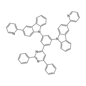 c1ccc(-c2cc(-c3cc(-n4c5ccccc5c5cc(-c6ccccn6)ccc54)cc(-n4c5ccccc5c5cc(-c6ccccn6)ccc54)c3)nc(-c3ccccc3)n2)cc1